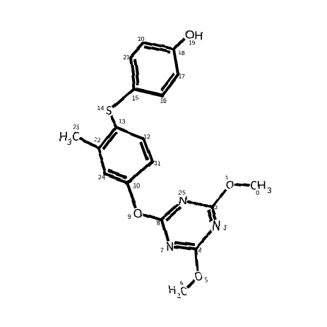 COc1nc(OC)nc(Oc2ccc(Sc3ccc(O)cc3)c(C)c2)n1